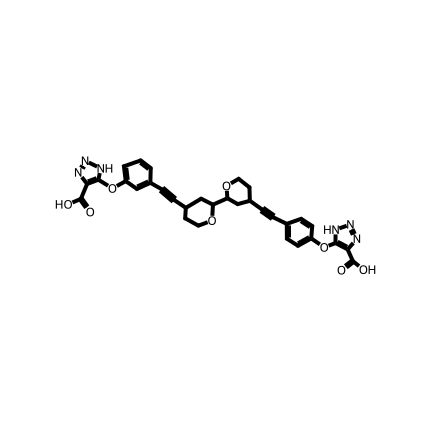 O=C(O)c1nn[nH]c1Oc1ccc(C#CC2CCOC(C3CC(C#Cc4cccc(Oc5[nH]nnc5C(=O)O)c4)CCO3)C2)cc1